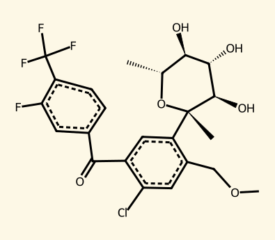 COCc1cc(Cl)c(C(=O)c2ccc(C(F)(F)F)c(F)c2)cc1[C@]1(C)O[C@H](C)[C@@H](O)[C@H](O)[C@H]1O